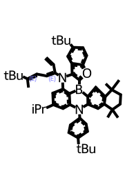 C=C/C(=C\C=C(/C)C(C)(C)C)N1c2cc(C(C)C)cc3c2B(c2cc4c(cc2N3c2ccc(C(C)(C)C)cc2)C(C)(C)CCC4(C)C)c2oc3ccc(C(C)(C)C)cc3c21